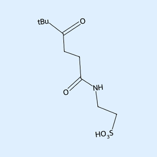 CC(C)(C)C(=O)CCC(=O)NCCS(=O)(=O)O